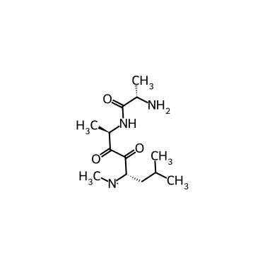 C[N][C@@H](CC(C)C)C(=O)C(=O)[C@@H](C)NC(=O)[C@H](C)N